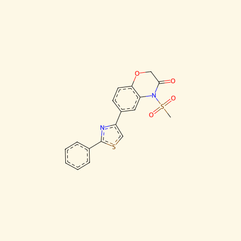 CS(=O)(=O)N1C(=O)COc2ccc(-c3csc(-c4ccccc4)n3)cc21